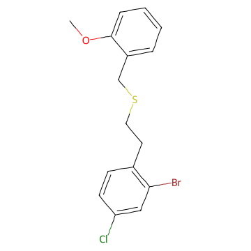 COc1ccccc1CSCCc1ccc(Cl)cc1Br